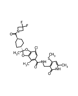 CSc1cc(C)[nH]c(=O)c1CNC(=O)c1cc(Cl)c2c(c1C)OC(C)([C@H]1CC[C@H](C(=O)N3CC(F)(F)C3)CC1)O2